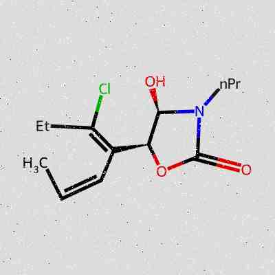 C/C=C\C(=C(\Cl)CC)[C@@H]1OC(=O)N(CCC)[C@@H]1O